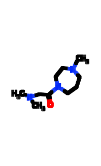 CN(C)CC(=O)N1CCCN(C)CC1